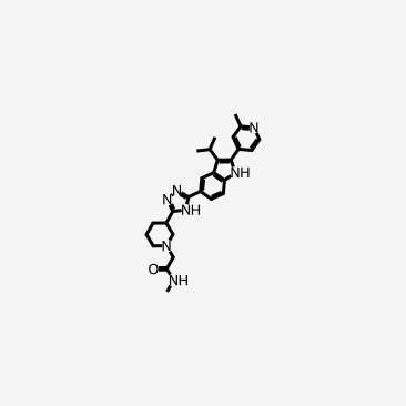 CNC(=O)CN1CCCC(c2nnc(-c3ccc4[nH]c(-c5ccnc(C)c5)c(C(C)C)c4c3)[nH]2)C1